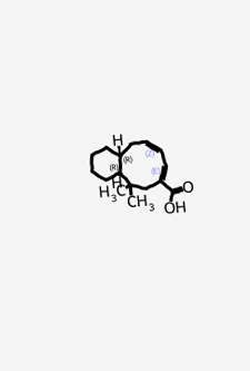 CC1(C)C/C(C(=O)O)=C\C=C/C[C@H]2CCCC[C@H]21